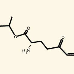 C=CC(=O)CC[C@H](N)C(=O)OC(C)C